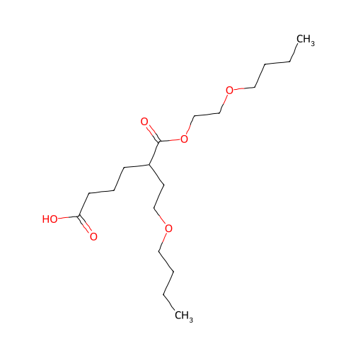 CCCCOCCOC(=O)C(CCCC(=O)O)CCOCCCC